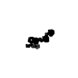 CCC(C(=O)O)C1CCCc2cc(OCc3cccc(Oc4ccccc4)c3)ccc21